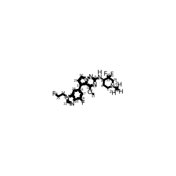 [2H]C([2H])([2H])N1CC[C@@H](Nc2nc(OC)c3c(-c4cc(F)c5ncn(CCF)c5c4)ccn3n2)C(F)(F)C1